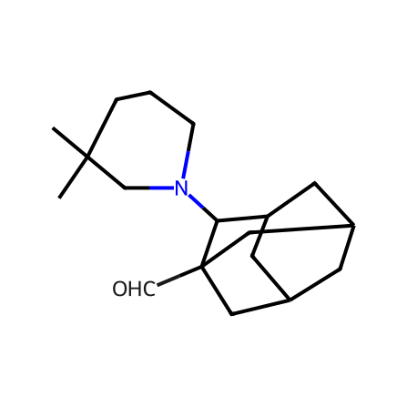 CC1(C)CCCN(C2C3CC4CC(C3)CC2(C=O)C4)C1